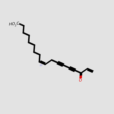 C=CC(=O)C#CC#CC/C=C\CCCCCCCC(=O)O